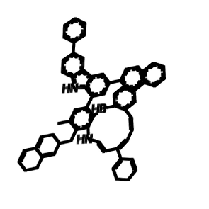 Cc1cc(-c2cc(-c3ccccc3)cc3c2[nH]c2ccc(-c4ccccc4)cc23)c2c(c1CC1C=C3CCC=CC3=CC1)N/C=C/C(C1=CCCC=C1)=C\C=C/c1cc(-c3ccccc3)ccc1B2